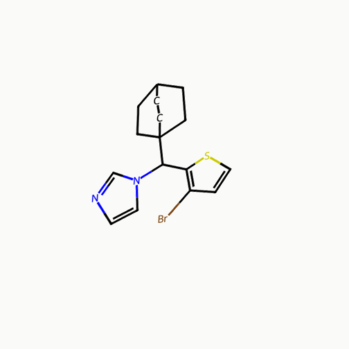 Brc1ccsc1C(n1ccnc1)C12CCC(CC1)CC2